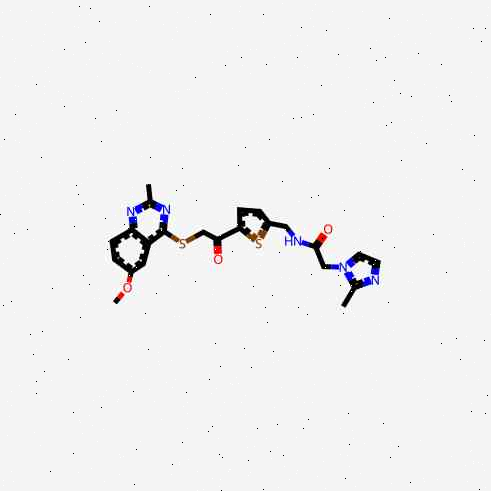 COc1ccc2nc(C)nc(SCC(=O)c3ccc(CNC(=O)Cn4ccnc4C)s3)c2c1